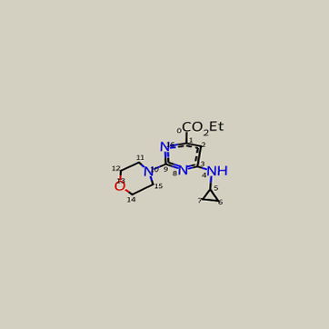 CCOC(=O)c1cc(NC2CC2)nc(N2CCOCC2)n1